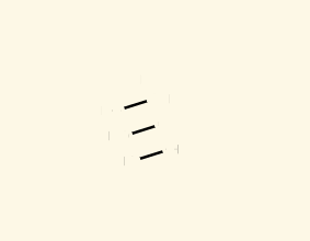 F.OO.OO.OO.[KH]